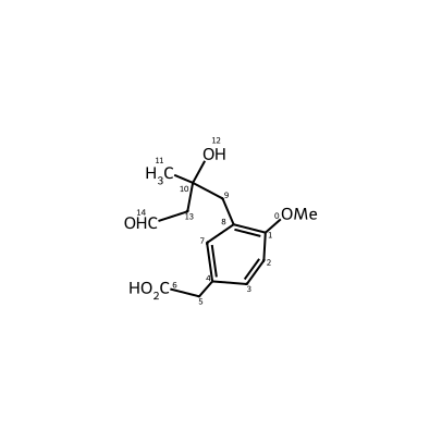 COc1ccc(CC(=O)O)cc1CC(C)(O)CC=O